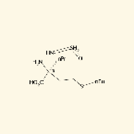 CCCCSCC[C@@](N)(CCC)C(=O)O.N=[SH2]=O